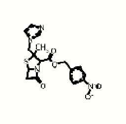 CC1(Cn2ccnc2)SC2CC(=O)N2C1C(=O)OCc1ccc([N+](=O)[O-])cc1